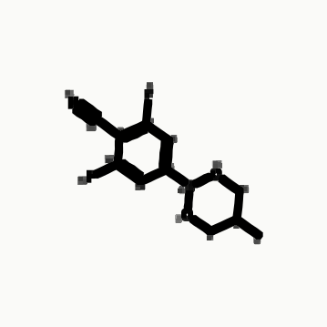 CC1COB(c2cc(F)c(C#N)c(F)c2)OC1